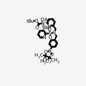 CC(=O)O[N+](C(=O)OC(C)(C)C)(c1cccc(CN(Cc2ccc(B3OC(C)(C)C(C)(C)O3)cc2)S(=O)(=O)c2ccccn2)n1)C(C)(C)C